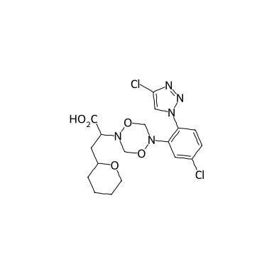 O=C(O)C(CC1CCCCO1)N1CON(c2cc(Cl)ccc2-n2cc(Cl)nn2)CO1